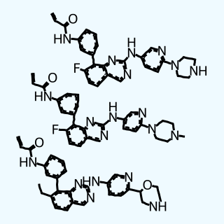 C=CC(=O)Nc1cccc(-c2c(CC)ccc3cnc(Nc4ccc(C5CNCCO5)nc4)nc23)c1.C=CC(=O)Nc1cccc(-c2c(F)ccc3cnc(Nc4ccc(N5CCN(C)CC5)nc4)nc23)c1.C=CC(=O)Nc1cccc(-c2c(F)ccc3cnc(Nc4ccc(N5CCNCC5)nc4)nc23)c1